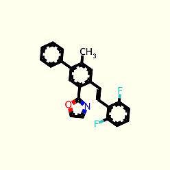 Cc1cc(/C=C/c2c(F)cccc2F)c(-c2ncco2)cc1-c1ccccc1